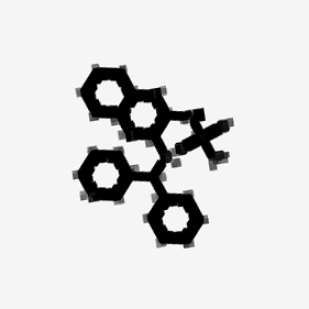 CCCS(=O)(=O)Nc1nc2ccccc2nc1OC(c1ccccc1)c1cccnc1